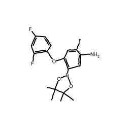 CC1(C)OB(c2cc(N)c(F)cc2Oc2ccc(F)cc2F)OC1(C)C